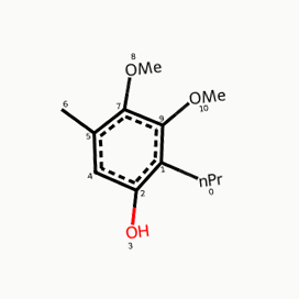 CCCc1c(O)cc(C)c(OC)c1OC